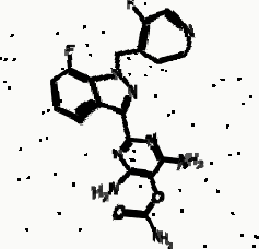 NC(=O)Oc1c(N)nc(-c2nn(Cc3ccncc3F)c3c(F)cccc23)nc1N